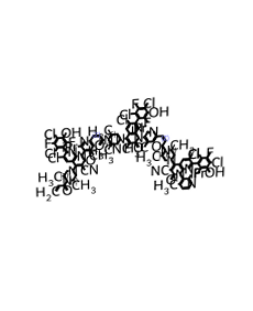 C=CC(=O)N1[C@H](C)CN(c2c(C#N)c(=O)n(-c3c(C)cc(/C=C\C(=O)N4[C@H](C)CN(c5c(C#N)c(=O)n(-c6c(C)cc(/C=C\C(=O)N7[C@H](C)CN(c8c(C#N)c(=O)n(-c9c(C)ccnc9C(C)C)c9nc(-c%10c(F)c(O)c(Cl)c(F)c%10Cl)c(Cl)cc89)C[C@@H]7C)nc6C(C)C)c6nc(-c7c(F)c(O)c(Cl)c(F)c7Cl)c(Cl)cc56)C[C@@H]4C)nc3C(C)C)c3nc(-c4c(F)c(O)c(Cl)c(F)c4Cl)c(Cl)cc23)C[C@@H]1C